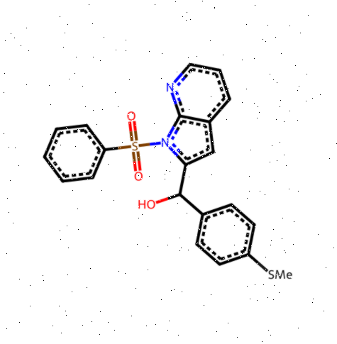 CSc1ccc(C(O)c2cc3cccnc3n2S(=O)(=O)c2ccccc2)cc1